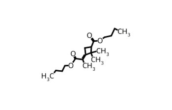 CCCCOC(=O)/C(C)=C1\CC(C(=O)OCCCC)C1(C)C